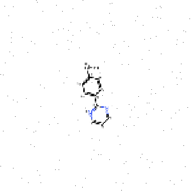 CCCCCCc1ccc(-c2ncccn2)cc1